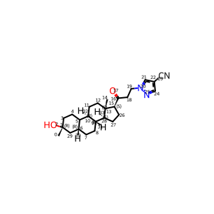 C[C@@]1(O)CCC2[C@H](CC[C@@H]3[C@@H]2CC[C@]2(C)[C@@H](C(=O)CCn4cc(C#N)cn4)CC[C@@H]32)C1